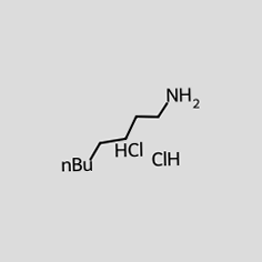 CCCCCCCCN.Cl.Cl